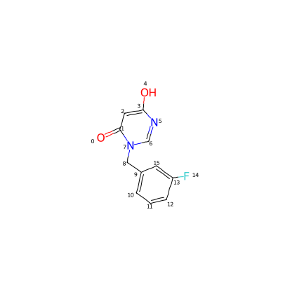 O=c1cc(O)ncn1Cc1cccc(F)c1